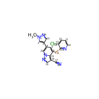 Cn1cc(-c2cc(Sc3ncccc3Cl)c3c(C#N)cnn3c2)cn1